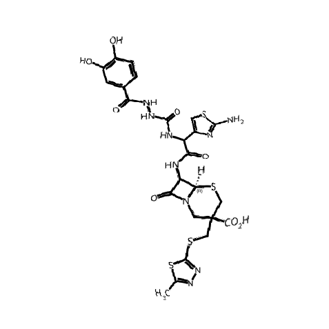 Cc1nnc(SCC2(C(=O)O)CS[C@@H]3C(NC(=O)C(NC(=O)NNC(=O)c4ccc(O)c(O)c4)c4csc(N)n4)C(=O)N3C2)s1